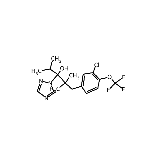 CC(C)C(O)(n1cncn1)C(C)(C)Cc1ccc(OC(F)(F)F)c(Cl)c1